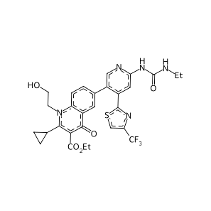 CCNC(=O)Nc1cc(-c2nc(C(F)(F)F)cs2)c(-c2ccc3c(c2)c(=O)c(C(=O)OCC)c(C2CC2)n3CCO)cn1